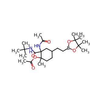 CC(=O)NC1(C(=O)NC(C)(C)C)CC(CCB2OC(C)(C)C(C)(C)O2)CCC1(C)OC(C)=O